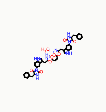 NC(Cc1c[nH]c2ccc(N3C(=O)NC(Cc4ccccc4)C3=O)cc12)OC(=O)/C=C\C(=O)OC(N)Cc1c[nH]c2ccc(N3C(=O)NC(Cc4ccccc4)C3=O)cc12.O